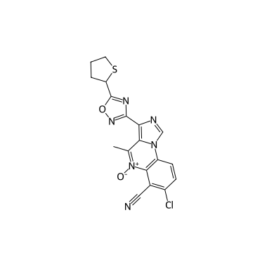 Cc1c2c(-c3noc(C4CCCS4)n3)ncn2c2ccc(Cl)c(C#N)c2[n+]1[O-]